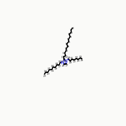 CCCCCCCCCCCCCCc1n(CCCCCCCCCC)cc[n+]1CCCCCCCC